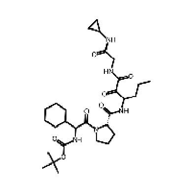 CCCC(NC(=O)[C@@H]1CCCN1C(=O)C(NC(=O)OC(C)(C)C)C1CCCCC1)C(=O)C(=O)NCC(=O)NC1CC1